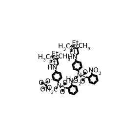 CC[N+](C)(CC)C(C)CNc1ccc(N(C)S(=O)(=O)c2ccccc2[N+](=O)[O-])cc1.CC[N+](C)(CC)C(C)CNc1ccc(N(C)S(=O)(=O)c2ccccc2[N+](=O)[O-])cc1.O=S(=O)([O-])[O-]